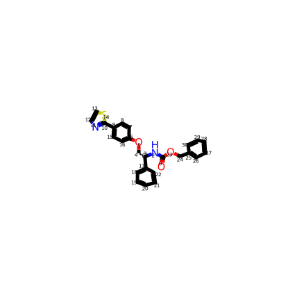 O=C(N[C@@H](COc1ccc(-c2nccs2)cc1)c1ccccc1)OCc1ccccc1